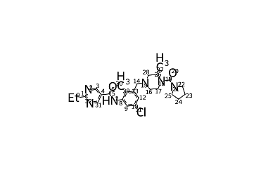 CCc1ncc(C(=O)Nc2cc(Cl)cc(CN3CCN(C(=O)N4CCCC4)[C@@H](C)C3)c2C)cn1